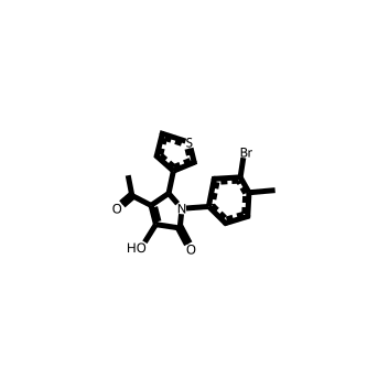 CC(=O)C1=C(O)C(=O)N(c2ccc(C)c(Br)c2)C1c1ccsc1